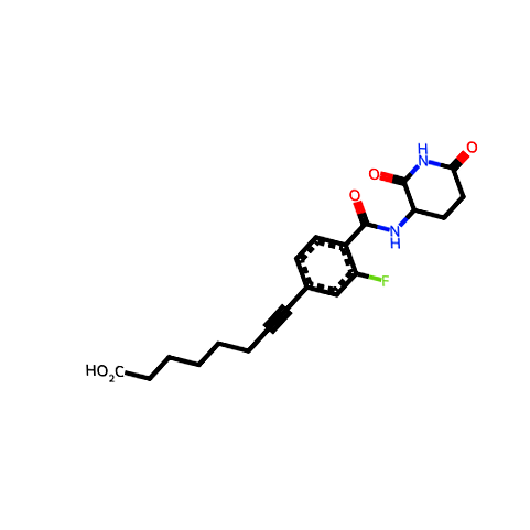 O=C(O)CCCCCC#Cc1ccc(C(=O)NC2CCC(=O)NC2=O)c(F)c1